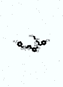 Cc1ccc(C(C)NCc2ccc(-c3ccc(Cl)c(C(=O)NC(CC(=O)NCCO)Cc4ccc(C#N)cc4)c3)o2)cc1